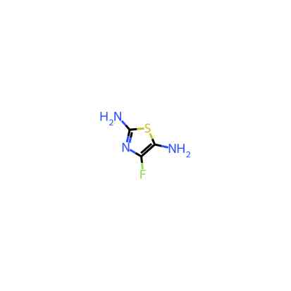 Nc1nc(F)c(N)s1